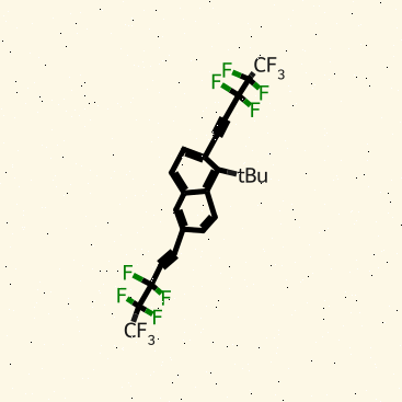 CC(C)(C)c1c(C#CC(F)(F)C(F)(F)C(F)(F)F)ccc2cc(C#CC(F)(F)C(F)(F)C(F)(F)F)ccc12